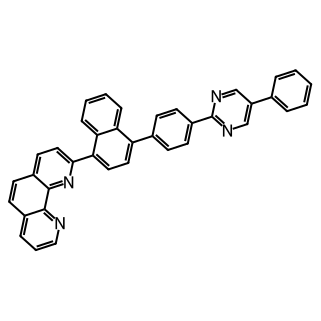 c1ccc(-c2cnc(-c3ccc(-c4ccc(-c5ccc6ccc7cccnc7c6n5)c5ccccc45)cc3)nc2)cc1